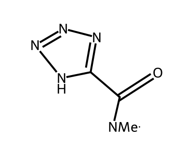 C[N]C(=O)c1nnn[nH]1